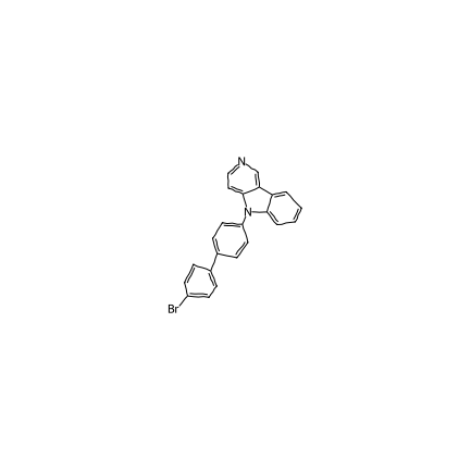 Brc1ccc(-c2ccc(-n3c4ccccc4c4cnccc43)cc2)cc1